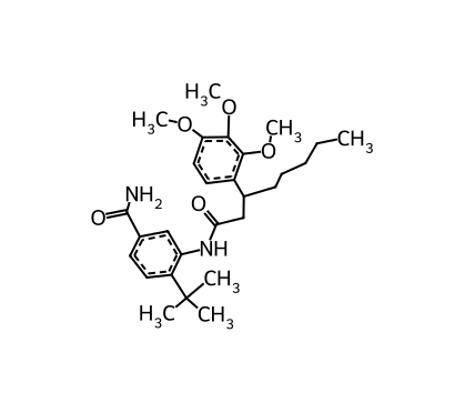 CCCCCC(CC(=O)Nc1cc(C(N)=O)ccc1C(C)(C)C)c1ccc(OC)c(OC)c1OC